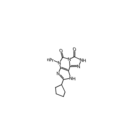 CCCn1c(=O)n2c(=O)[nH]nc2c2[nH]c(C3CCCC3)nc21